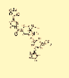 CC(C)(C)OC(=O)c1ccn(C(=O)N2CCC3(CCCN3Cc3cc(-n4cccn4)cc(C(F)(F)F)c3)CC2)n1